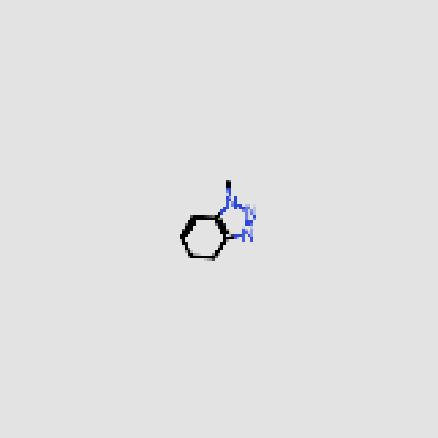 Cn1nnc2c1C=CCC2